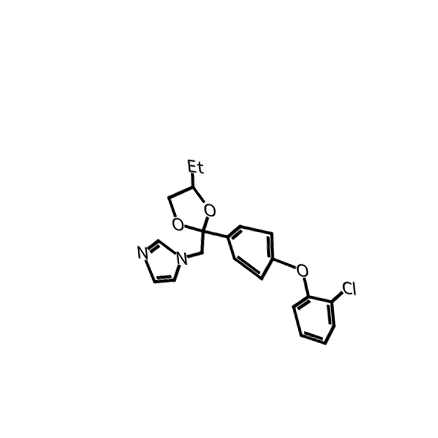 CCC1COC(Cn2ccnc2)(c2ccc(Oc3ccccc3Cl)cc2)O1